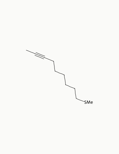 CC#CCCCCCCSC